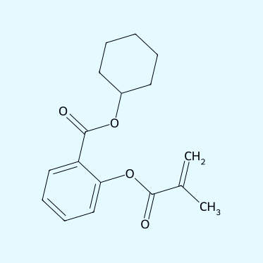 C=C(C)C(=O)Oc1ccccc1C(=O)OC1CCCCC1